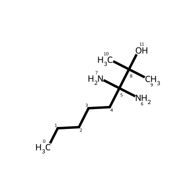 CCCCCC(N)(N)C(C)(C)O